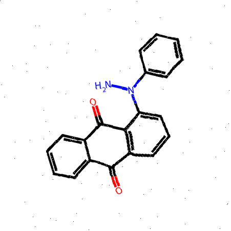 NN(c1ccccc1)c1cccc2c1C(=O)c1ccccc1C2=O